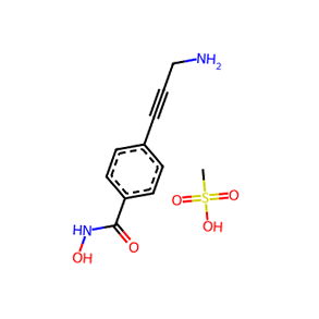 CS(=O)(=O)O.NCC#Cc1ccc(C(=O)NO)cc1